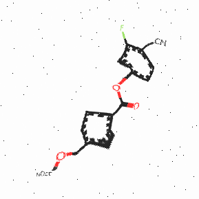 CCCCCCCCOCc1ccc(C(=O)Oc2ccc(C#N)c(F)c2)cc1